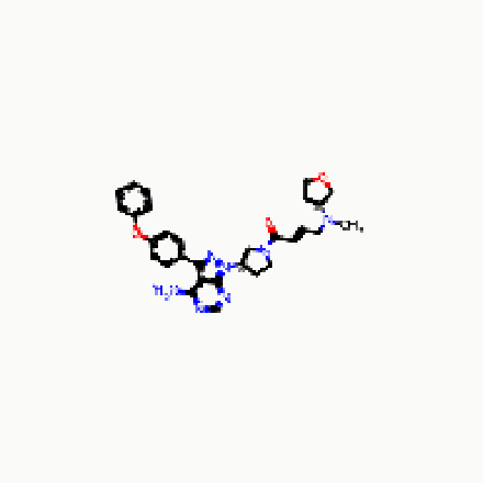 CN(CC=CC(=O)N1CC[C@@H](n2nc(-c3ccc(Oc4ccccc4)cc3)c3c(N)ncnc32)C1)[C@@H]1CCOC1